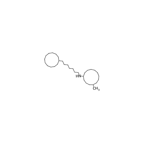 CC1CCCCCCCCC(NCCCCCCCC2CCCCCCCCCCC2)CCC1